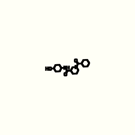 O=C(NC1CCC(O)CC1)C1CCCN(C(=O)C2CCCCC2)C1